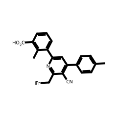 Cc1ccc(-c2cc(-c3cccc(C(=O)O)c3C)nc(CC(C)C)c2C#N)cc1